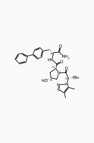 Cc1nnn([C@H](C(=O)N2C[C@H](O)C[C@H]2C(=O)N[C@H](Cc2ccc(-c3ccccc3)cc2)C(N)=O)C(C)(C)C)c1C